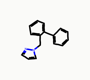 c1ccc(-c2ccccc2Cn2cccn2)cc1